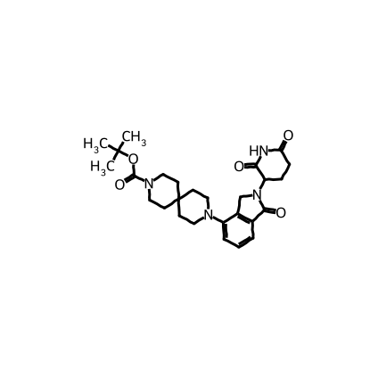 CC(C)(C)OC(=O)N1CCC2(CC1)CCN(c1cccc3c1CN(C1CCC(=O)NC1=O)C3=O)CC2